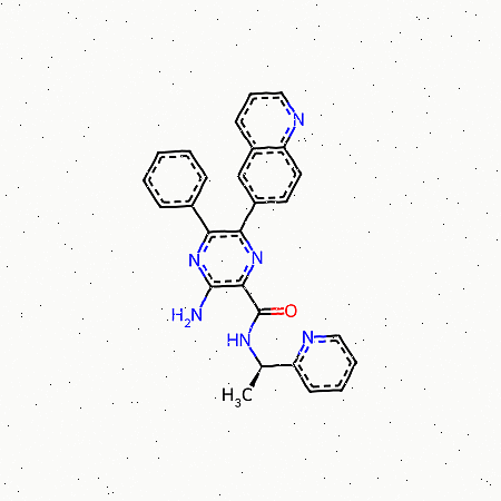 C[C@@H](NC(=O)c1nc(-c2ccc3ncccc3c2)c(-c2ccccc2)nc1N)c1ccccn1